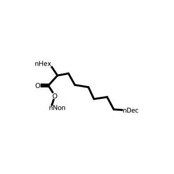 CCCCCCCCCCCCCCCCC(CCCCCC)C(=O)OCCCCCCCCC